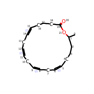 CC1CCC/C=C\C/C=C\C/C=C\C/C=C\CCCC(=O)O1